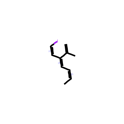 C=C(C)C(/C=C\I)=C\C=C/C